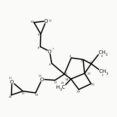 CC1(C)C2CC(COCC3CO3)(COCC3CO3)C3(C)CCC213